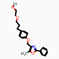 CCOCCOCCCc1ccc(OCc2nc(-c3ccccc3)oc2C)cc1